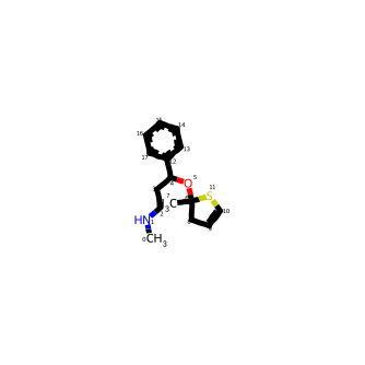 CNCCC(OC1(C)CC=CS1)c1ccccc1